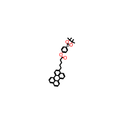 CC1(C)OB(c2ccc(OC(=O)CCCCc3ccc4c5cccc6cccc(c7cccc3c74)c65)cc2)OC1(C)C